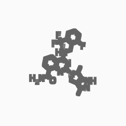 Cc1n[nH]c2c1CN(c1nc(NCc3c(F)cccc3C(F)(F)F)c3cccc(C(N)=O)c3n1)C2C